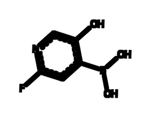 OB(O)c1cc(F)ncc1O